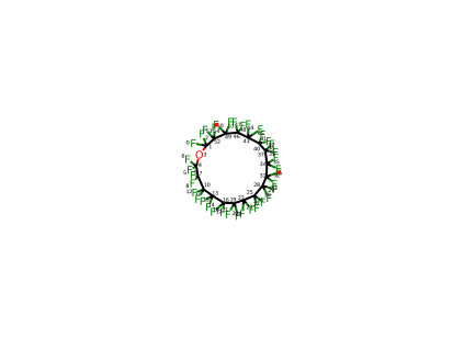 FC1(F)OC(F)(F)C(F)(F)C(F)(F)C(F)(F)C(F)(F)C(F)(F)C(F)(F)C(F)(F)C(F)(F)C(F)(F)C(F)(F)C(F)(F)C(F)(F)C(F)(F)C(F)(F)C(F)(F)C1(F)F